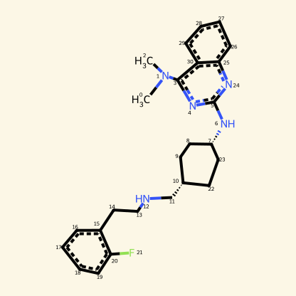 CN(C)c1nc(N[C@H]2CC[C@@H](CNCCc3ccccc3F)CC2)nc2ccccc12